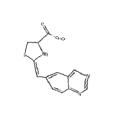 O=CC(=O)C1CSC(=Cc2ccc3ncncc3c2)N1